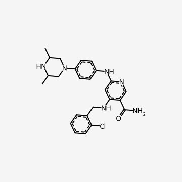 CC1CN(c2ccc(Nc3cc(NCc4ccccc4Cl)c(C(N)=O)cn3)cc2)CC(C)N1